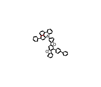 c1ccc(-c2ccc(-c3c4oc5ccc(N(c6ccc(-c7ccccc7)cc6)c6ccccc6-c6ccccc6)cc5c4cc4oc5ccccc5c34)cc2)cc1